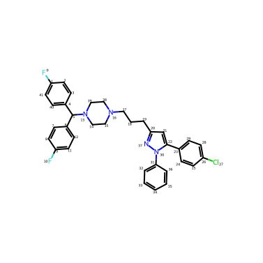 Fc1ccc(C(c2ccc(F)cc2)N2CCN(CCCc3cc(-c4ccc(Cl)cc4)n(-c4ccccc4)n3)CC2)cc1